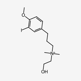 COc1ccc(CCC[N+](C)(C)CCO)cc1I